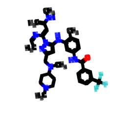 C=C(/C=C(\N=C/C)n1nc(CN(C)C2CCN(C)CC2)cc1Nc1cc(NC(=O)c2cccc(C(F)(F)F)c2)ccc1C)NC